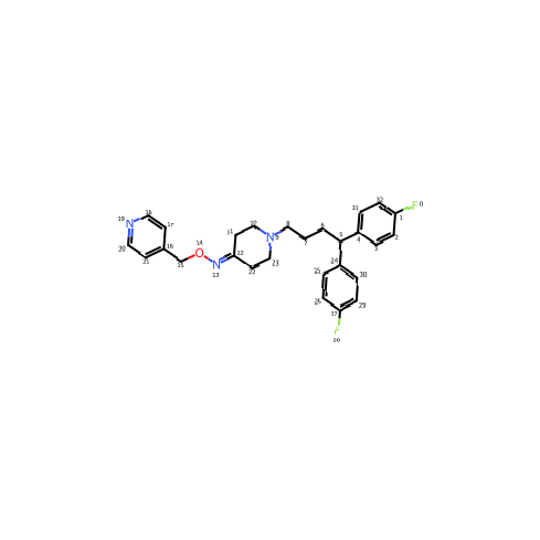 Fc1ccc(C(CCCN2CCC(=NOCc3ccncc3)CC2)c2ccc(F)cc2)cc1